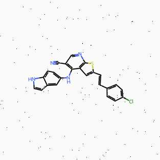 N#Cc1cnc2sc(C=Cc3ccc(Cl)cc3)cc2c1Nc1ccc2[nH]ccc2c1